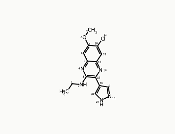 CCNc1nc2cc(OC)c(Cl)cc2nc1-c1cn[nH]c1